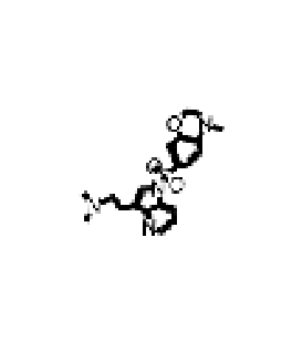 CN(C)CCc1cn(S(=O)(=O)c2ccc3c(c2)OCCN3C)c2cccnc12